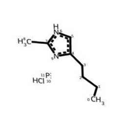 CCCCc1c[nH]c(C)n1.Cl.[P]